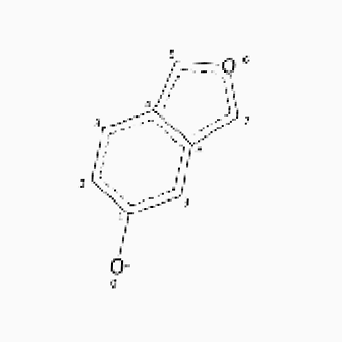 [O]c1ccc2cocc2c1